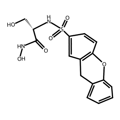 O=C(NO)[C@H](CO)NS(=O)(=O)c1ccc2c(c1)Cc1ccccc1O2